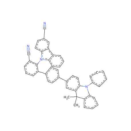 CC1(C)c2ccccc2N(c2ccccc2)c2ccc(-c3ccc(-c4cccc(C#N)c4-n4c5ccccc5c5cc(C#N)ccc54)cc3)cc21